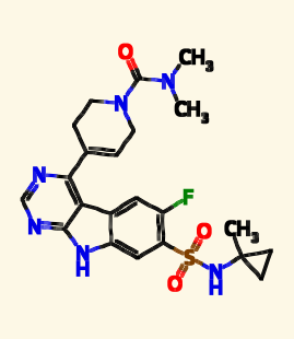 CN(C)C(=O)N1CC=C(c2ncnc3[nH]c4cc(S(=O)(=O)NC5(C)CC5)c(F)cc4c23)CC1